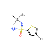 CCc1csc(S(N)(=O)=N[Si](C)(C)C(C)(C)C)c1